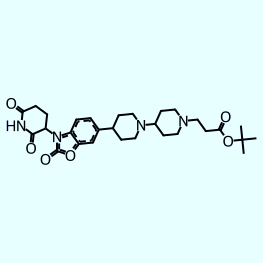 CC(C)(C)OC(=O)CCN1CCC(N2CCC(c3ccc4c(c3)oc(=O)n4C3CCC(=O)NC3=O)CC2)CC1